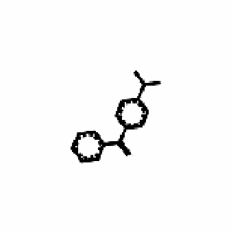 [CH]=C(c1ccccc1)c1ccc(C(C)C)cc1